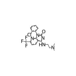 CN(C)CCNc1nc(=O)n(-c2ccccc2Cl)c2nc(C(F)(F)F)ccc12